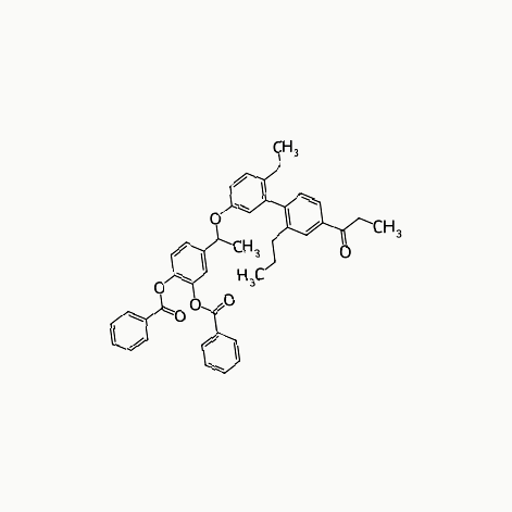 CCCc1cc(C(=O)CC)ccc1-c1cc(OC(C)c2ccc(OC(=O)c3ccccc3)c(OC(=O)c3ccccc3)c2)ccc1CC